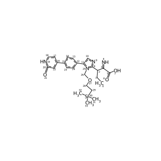 CCC(C(=N)C(=O)O)c1ncc(-c2ccc(-c3cc[nH]c(=O)c3)cc2)n1COCC[Si](C)(C)C